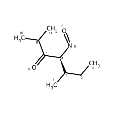 CCC(C)[C@H](N=O)C(=O)C(C)C